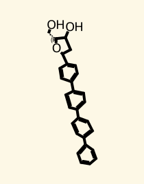 OC[C@H]1OC(c2ccc(-c3ccc(-c4ccc(-c5ccccc5)cc4)cc3)cc2)CC1O